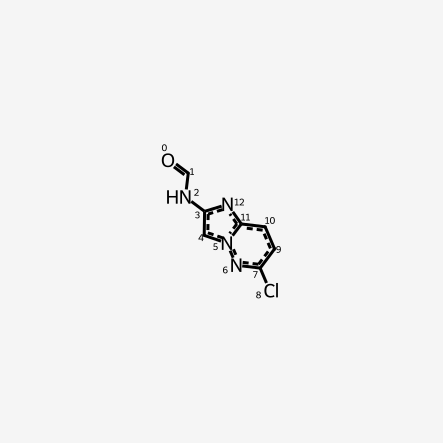 O=CNc1cn2nc(Cl)ccc2n1